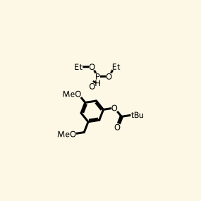 CCO[PH](=O)OCC.COCc1cc(OC)cc(OC(=O)C(C)(C)C)c1